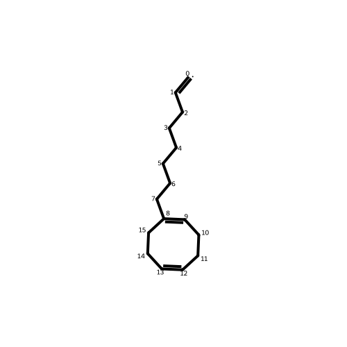 [CH]=CCCCCCC/C1=C/CC/C=C\CC1